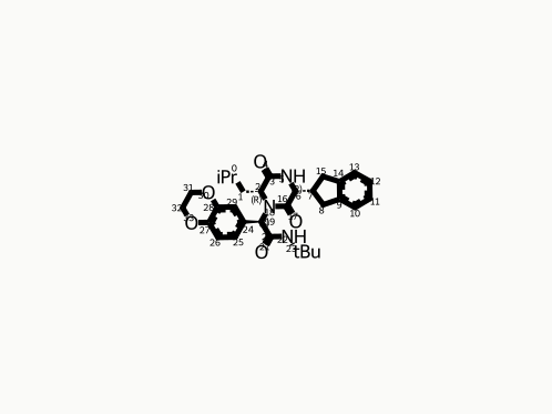 CC(C)C[C@@H]1C(=O)N[C@H](C2Cc3ccccc3C2)C(=O)N1[C@@H](C(=O)NC(C)(C)C)c1ccc2c(c1)OCCO2